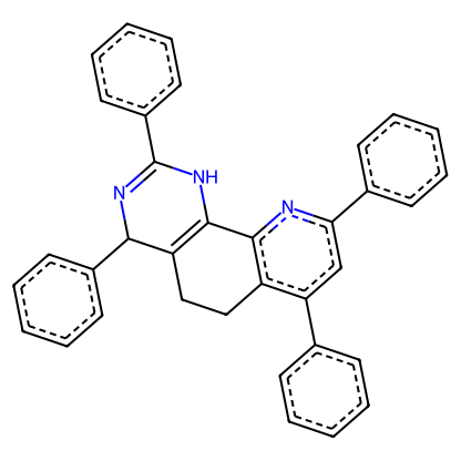 c1ccc(C2=NC(c3ccccc3)C3=C(N2)c2nc(-c4ccccc4)cc(-c4ccccc4)c2CC3)cc1